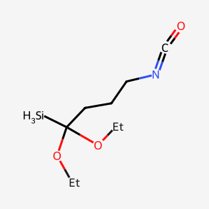 CCOC([SiH3])(CCCN=C=O)OCC